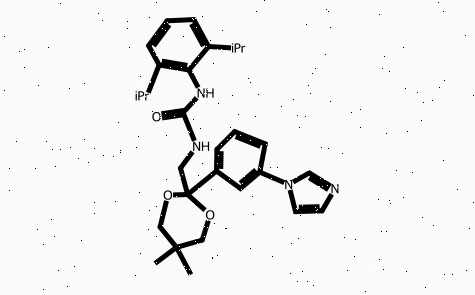 CC(C)c1cccc(C(C)C)c1NC(=O)NCC1(c2cccc(-n3ccnc3)c2)OCC(C)(C)CO1